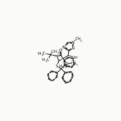 Cn1cnc(C(O)C2([SiH](C)C)C(=O)N(C(C)(C)C)C2SC(c2ccccc2)(c2ccccc2)c2ccccc2)n1